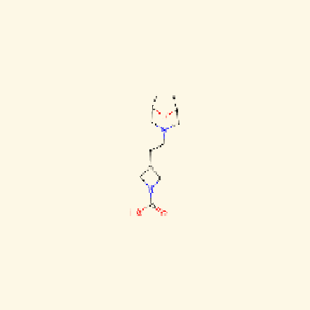 O=C(O)N1CC(CCN2CC3CCC(C2)O3)C1